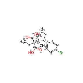 CCC(c1ccc(Br)cc1)C(C)(C)C(CC)(C(=O)O)C(=O)O